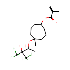 C=C(C)C(=O)OC1CCCC(C)(OC(C)C(O)(C(F)(F)F)C(F)(F)F)CCC1